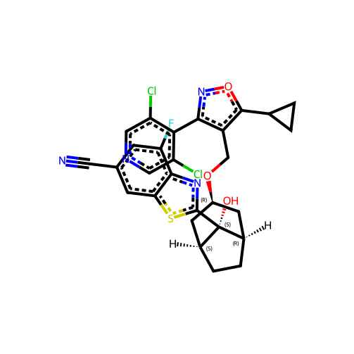 N#Cc1cc(F)c2nc([C@@]3(O)[C@@H]4CC[C@H]3C[C@@H](OCc3c(-c5c(Cl)cncc5Cl)noc3C3CC3)C4)sc2c1